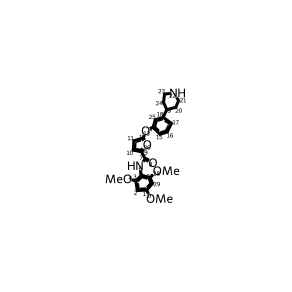 COc1cc(OC)c(NC(=O)c2ccc(Oc3cccc(C4CCNCC4)c3)o2)c(OC)c1